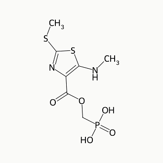 CNc1sc(SC)nc1C(=O)OCP(=O)(O)O